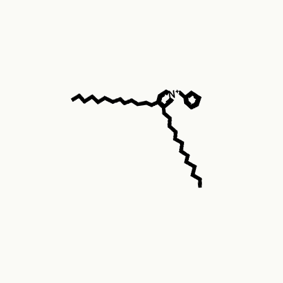 CCCCCCCCCCCCCc1cc[n+](Cc2ccccc2)cc1CCCCCCCCCCCCC